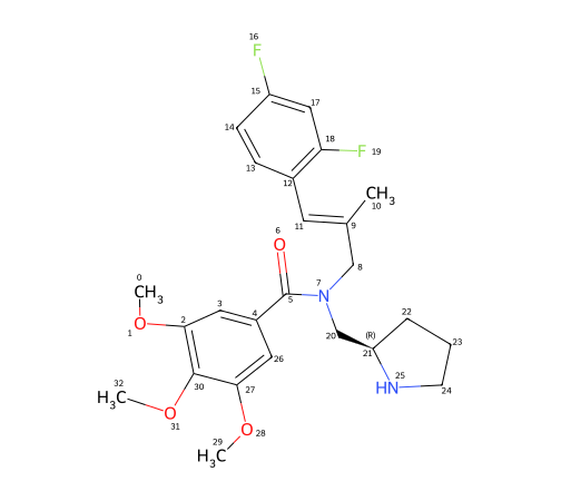 COc1cc(C(=O)N(CC(C)=Cc2ccc(F)cc2F)C[C@H]2CCCN2)cc(OC)c1OC